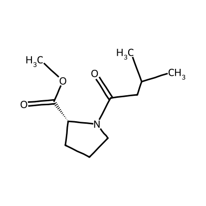 COC(=O)[C@H]1CCCN1C(=O)CC(C)C